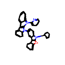 c1ccc(-n2c3ccc(-n4c5ccccc5c5c6ccccc6n(-c6ccccn6)c54)cc3c3c4ccccc4oc32)cc1